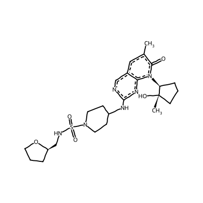 Cc1cc2cnc(NC3CCN(S(=O)(=O)NC[C@H]4CCCO4)CC3)nc2n([C@H]2CCC[C@]2(C)O)c1=O